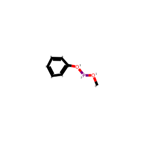 CO[P]Oc1ccccc1